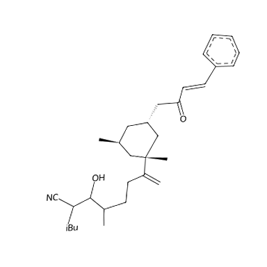 C=C(CCC(C)C(O)C(C#N)C(C)CC)[C@]1(C)C[C@@H](C)C[C@H](CC(=O)/C=C/c2ccccc2)C1